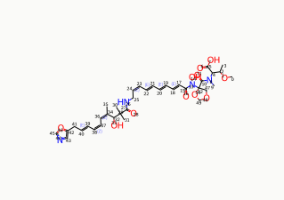 COC(C)C(C(=O)O)N(C)C(=O)C1(N(O)C(=O)/C=C/C=C/C=C/C=C\CNC(=O)C(C)(C)C(O)\C(C)=C/C=C\C=C\Cc2cnco2)COCO1